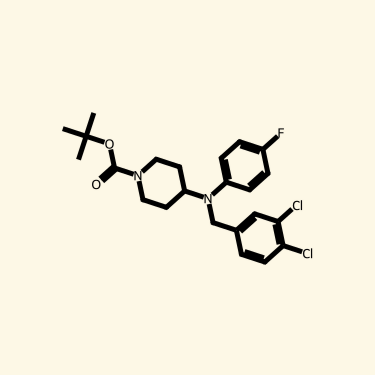 CC(C)(C)OC(=O)N1CCC(N(Cc2ccc(Cl)c(Cl)c2)c2ccc(F)cc2)CC1